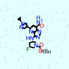 CC(C)(C)OC(=O)N1C[C@@H](F)C[C@H](Nc2ncnc3c(C(N)=O)cc(-c4cnn(C5CC5)c4)nc23)C1